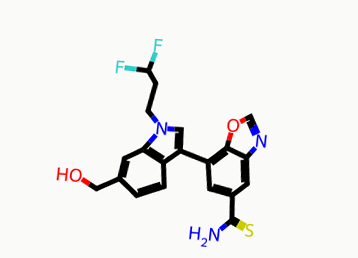 NC(=S)c1cc(-c2cn(CCC(F)F)c3cc(CO)ccc23)c2ocnc2c1